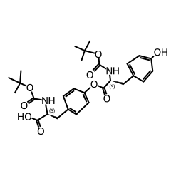 CC(C)(C)OC(=O)N[C@@H](Cc1ccc(OC(=O)[C@H](Cc2ccc(O)cc2)NC(=O)OC(C)(C)C)cc1)C(=O)O